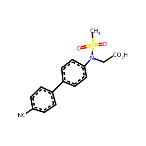 CS(=O)(=O)N(CC(=O)O)c1ccc(-c2ccc(C#N)cc2)cc1